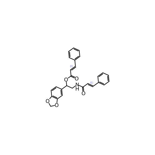 O=C(/C=C/c1ccccc1)NCC(OC(=O)/C=C/c1ccccc1)c1ccc2c(c1)OCO2